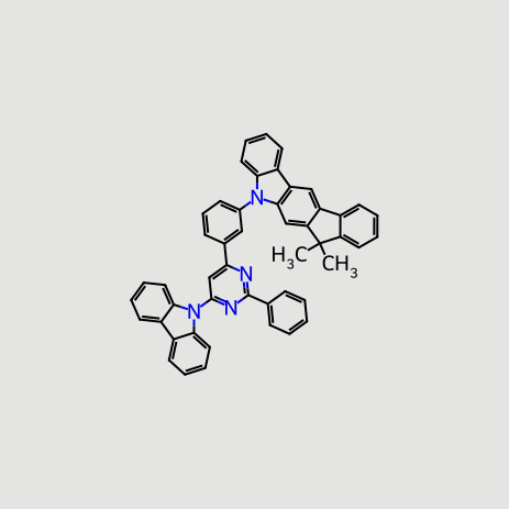 CC1(C)c2ccccc2-c2cc3c4ccccc4n(-c4cccc(-c5cc(-n6c7ccccc7c7ccccc76)nc(-c6ccccc6)n5)c4)c3cc21